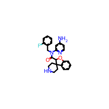 Nc1ccnc(N(Cc2ccccc2F)C(=O)C2Oc3ccccc3C23CCNCC3)c1